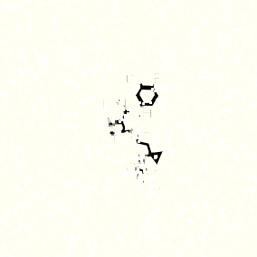 NS(=O)(=O)NC1(CCNc2nonc2C(=NO)Nc2ccc(F)c(Br)c2)CC1